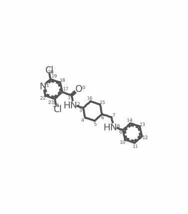 O=C(NC1CCC(CNc2ccccc2)CC1)c1cc(Cl)ncc1Cl